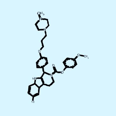 COc1ccc(OC(=O)N2CCC3=C(NC4C=CC(Cl)=CC34)C2c2ccc(OCCCN3CCN(C)CC3)cc2)cc1